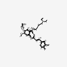 CCN(CC)CCCNc1nc(/C=C/c2ccc(F)c(F)c2)nc2cc(OC)c(OC)cc12